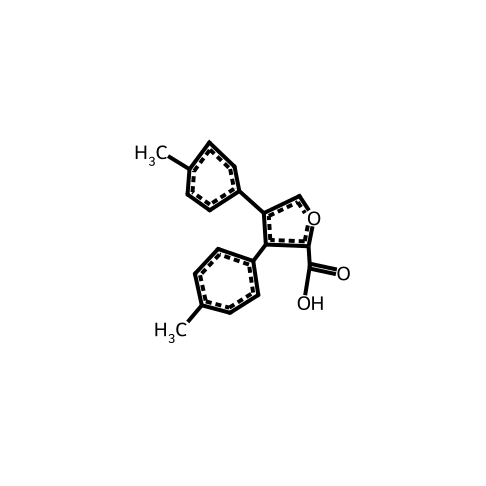 Cc1ccc(-c2coc(C(=O)O)c2-c2ccc(C)cc2)cc1